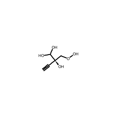 C#C[C@@](O)(COO)C(O)O